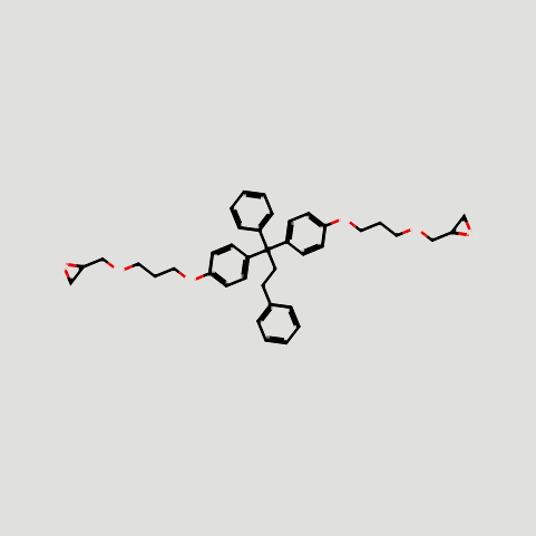 c1ccc(CCC(c2ccccc2)(c2ccc(OCCCOCC3CO3)cc2)c2ccc(OCCCOCC3CO3)cc2)cc1